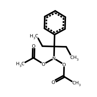 CCC(CC)(c1ccccc1)N(OC(C)=O)OC(C)=O